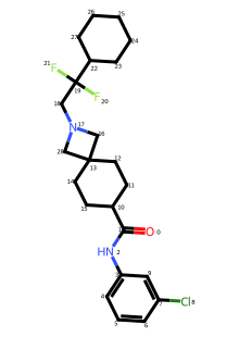 O=C(Nc1cccc(Cl)c1)C1CCC2(CC1)CN(CC(F)(F)C1CCCCC1)C2